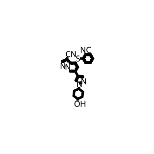 N#Cc1ccccc1Sc1cc(-c2cnn(C3CCC(O)CC3)c2)cn2ncc(C#N)c12